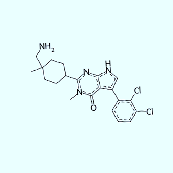 Cn1c(C2CCC(C)(CN)CC2)nc2[nH]cc(-c3cccc(Cl)c3Cl)c2c1=O